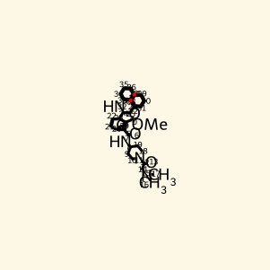 COC(=O)C1=C(C(=O)NC2CCN(C(=O)CN(C)C)CC2)C2C=CC1(C(Cc1ccccc1)Nc1ccccc1)O2